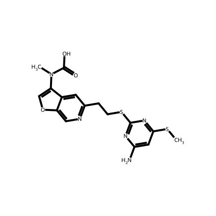 CSc1cc(N)nc(SCCc2cc3c(N(C)C(=O)O)coc3cn2)n1